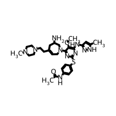 COc1c(Nc2cc(C)[nH]n2)nc(Sc2ccc(NC(C)=O)cc2)nc1N1CC=C(CCN2CCN(C)CC2)CC(N)C1